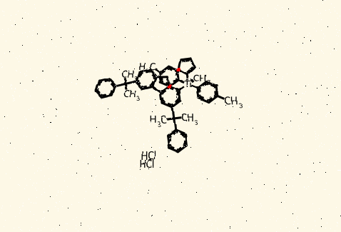 Cl.Cl.[CH2]=[Ti]([C]1=CC=CC1)([c]1ccc(C)cc1)([c]1ccc(C)cc1)[c]1cc(C(C)(C)c2ccccc2)cc2c1Cc1ccc(C(C)(C)c3ccccc3)cc1-2